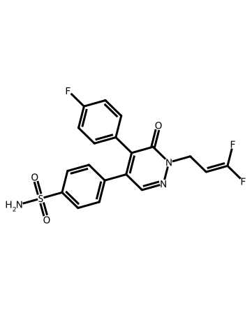 NS(=O)(=O)c1ccc(-c2cnn(CC=C(F)F)c(=O)c2-c2ccc(F)cc2)cc1